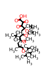 CO[C@@H](C[C@@H](C)CO[Si](C(C)C)(C(C)C)C(C)C)[C@H]([C@H](C[C@@](C)(O[SiH](C)C)C(=O)C(=O)C(=O)O)OC)C(C)(C)C